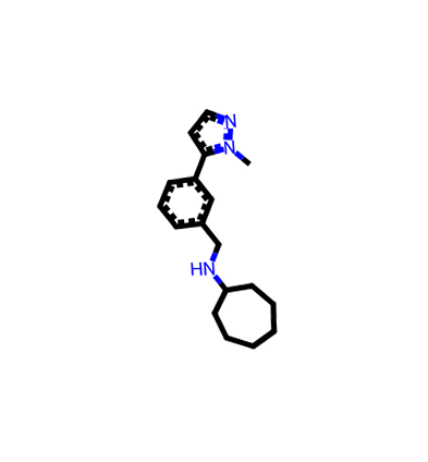 Cn1nccc1-c1cccc(CNC2CCCCCC2)c1